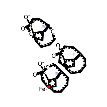 O=S(=O)([O-])c1ccccc/c2cccccc/c1=2.O=S(=O)([O-])c1ccccc/c2cccccc/c1=2.O=S(=O)([O-])c1ccccc/c2cccccc/c1=2.[Fe+3]